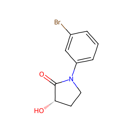 O=C1[C@@H](O)CCN1c1cccc(Br)c1